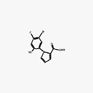 COC(=O)c1cccn1-c1cc(Br)c(F)cc1C#N